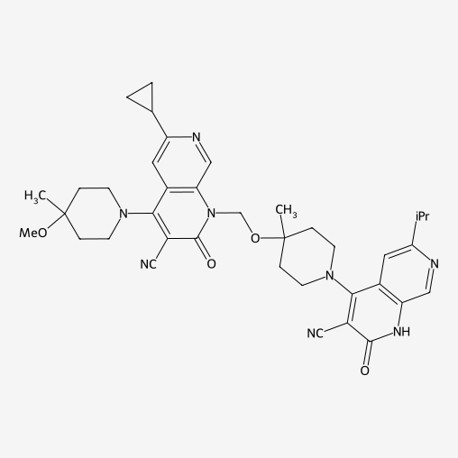 COC1(C)CCN(c2c(C#N)c(=O)n(COC3(C)CCN(c4c(C#N)c(=O)[nH]c5cnc(C(C)C)cc45)CC3)c3cnc(C4CC4)cc23)CC1